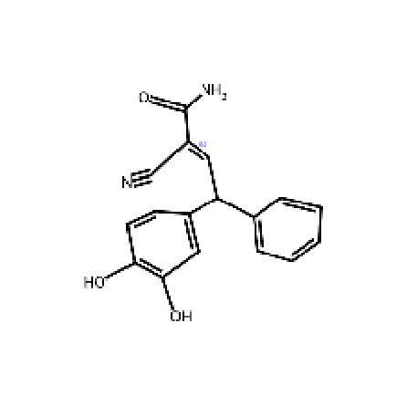 N#C/C(=C\C(c1ccccc1)c1ccc(O)c(O)c1)C(N)=O